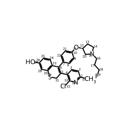 Cc1ccc(C2=C(c3ccc(O[C@H]4CCN(CCCF)C4)cc3)c3ccc(O)cc3SC2)c(Cl)n1